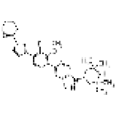 COc1c(-c2cc3nnn(C4CC(C)(C)NC(C)(C)C4)c3nn2)ccc(-c2cnn(C3CCCCO3)c2)c1F